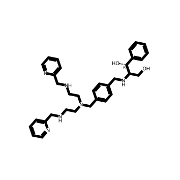 OCC(NCc1ccc(CN(CCNCc2ccccn2)CCNCc2ccccn2)cc1)[C@H](O)c1ccccc1